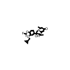 CC#CC(O)(Cn1c(C)cc(=O)cc1C)c1ccc(OC(F)F)c(OCC2CC2)c1